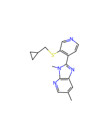 Cc1cnc2c(c1)nc(-c1ccncc1SCC1CC1)n2C